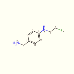 NCc1ccc(NCCF)cc1